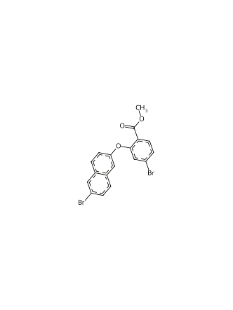 COC(=O)c1ccc(Br)cc1Oc1ccc2cc(Br)ccc2c1